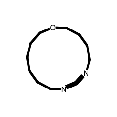 C1=NCCCCCCOCCCCN=1